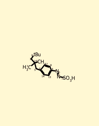 CC(C)(C)CC(C)(C)Cc1ccc(N=NS(=O)(=O)O)cc1